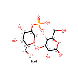 O=P(O)(O)O[C@H]1[C@H](O[C@H]2[C@H](O)[C@@H](O)[C@H](O)O[C@@H]2CO)O[C@H](CO)[C@H](O)[C@@H]1O.[NaH]